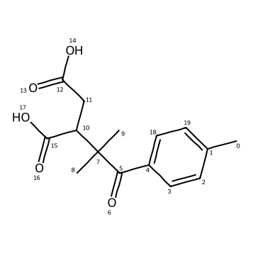 Cc1ccc(C(=O)C(C)(C)C(CC(=O)O)C(=O)O)cc1